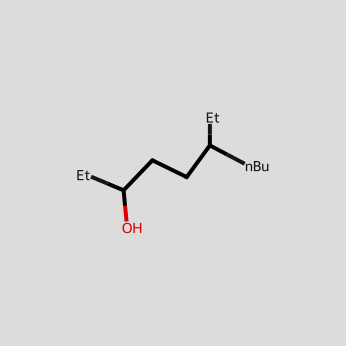 CCCCC(CC)CCC(O)CC